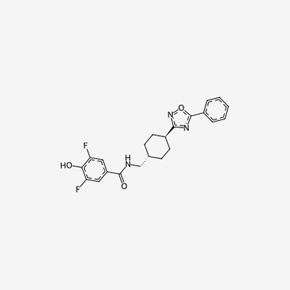 O=C(NC[C@H]1CC[C@H](c2noc(-c3ccccc3)n2)CC1)c1cc(F)c(O)c(F)c1